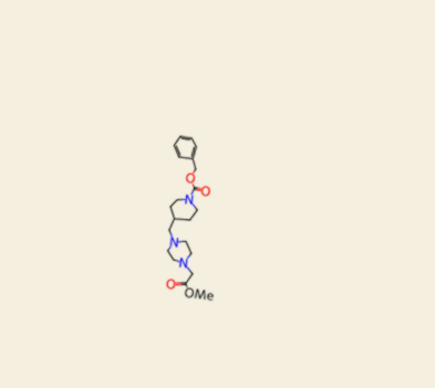 COC(=O)CN1CCN(CC2CCN(C(=O)OCc3ccccc3)CC2)CC1